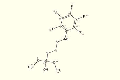 CO[Si](O)(CCCNc1c(F)c(F)c(F)c(F)c1F)OC